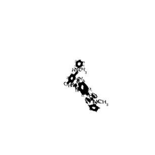 CN(C1CCCC1)S(=O)(=O)c1ccc2c(c1)nc(Nc1cc(CNC3(C)CCCCC3)ccc1Cl)n2C